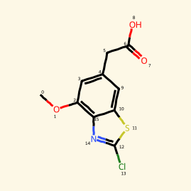 COc1cc(CC(=O)O)cc2sc(Cl)nc12